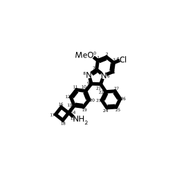 COC1=CC(Cl)=CN2C1=NC(c1ccc(C3(N)CCC3)cc1)C2c1ccccc1